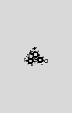 C=C[C@@H]1CCC[C@@]2(Cc3ccc(Cl)cc3)c3c(F)ccc(F)c3OC[C@@H]12